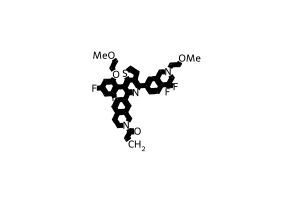 C=CC(=O)N1CCc2ccc(-c3nc(-c4ccc5c(c4)CN(CCOC)CC5(F)F)c4ccsc4c3-c3c(F)cc(F)cc3OCCOC)cc2C1